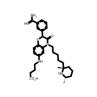 C[C@H]1CCC[C@@](C)(CCCCCN2C(=O)C(c3cccc(C(=N)N)c3)Oc3ccc(NCCCC(=O)O)cc32)N1